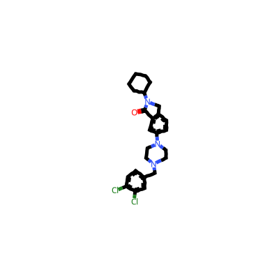 O=C1c2cc(N3CCN(Cc4ccc(Cl)c(Cl)c4)CC3)ccc2CN1C1CCCCC1